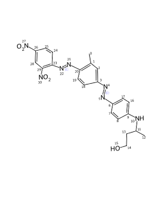 Cc1cc(/N=N/c2ccc(NC(C)CCO)cc2)ccc1/N=N/c1ccc([N+](=O)[O-])cc1[N+](=O)[O-]